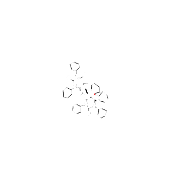 O=C1N(c2ccccc2)C(=O)C(C#CC2(Cc3ccccc3)C(=O)N(c3ccccc3)C(=O)N(c3ccccc3)C2=O)(Cc2ccccc2)C(=O)N1c1ccccc1